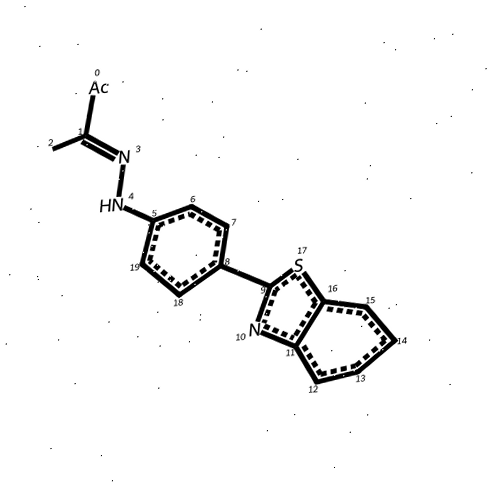 CC(=O)/C(C)=N/Nc1ccc(-c2nc3ccccc3s2)cc1